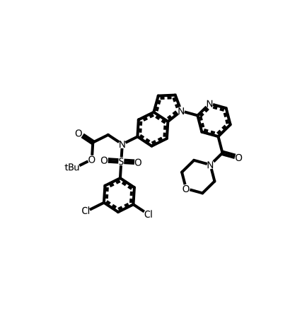 CC(C)(C)OC(=O)CN(c1ccc2c(ccn2-c2cc(C(=O)N3CCOCC3)ccn2)c1)S(=O)(=O)c1cc(Cl)cc(Cl)c1